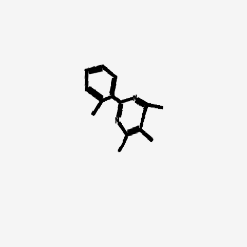 Cc1ccccc1-c1nc(C)c(C)c(C)n1